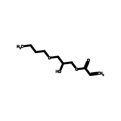 C=CC(=O)OCC(O)COCCCC